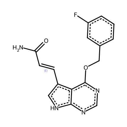 NC(=O)/C=C/c1c[nH]c2ncnc(OCc3cccc(F)c3)c12